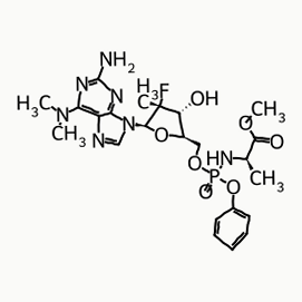 COC(=O)[C@@H](C)NP(=O)(OC[C@H]1O[C@@H](n2cnc3c(N(C)C)nc(N)nc32)[C@](C)(F)[C@@H]1O)Oc1ccccc1